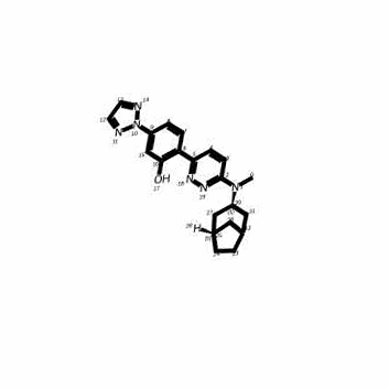 CN(c1ccc(-c2ccc(-n3nccn3)cc2O)nn1)[C@H]1CC2CC[C@@H](C2)C1